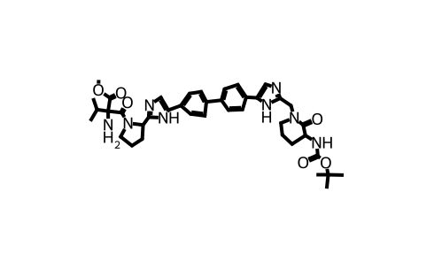 COC(=O)C(N)(C(=O)N1CCCC1c1ncc(-c2ccc(-c3ccc(-c4cnc(CN5CCCC(NC(=O)OC(C)(C)C)C5=O)[nH]4)cc3)cc2)[nH]1)C(C)C